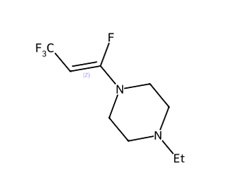 CCN1CCN(/C(F)=C/C(F)(F)F)CC1